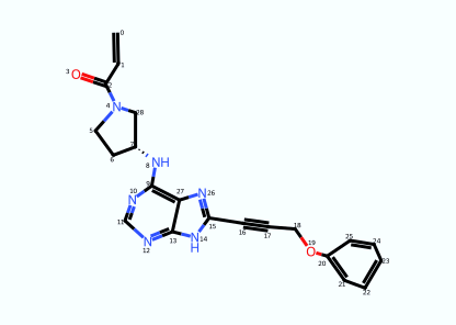 C=CC(=O)N1CC[C@@H](Nc2ncnc3[nH]c(C#CCOc4ccccc4)nc23)C1